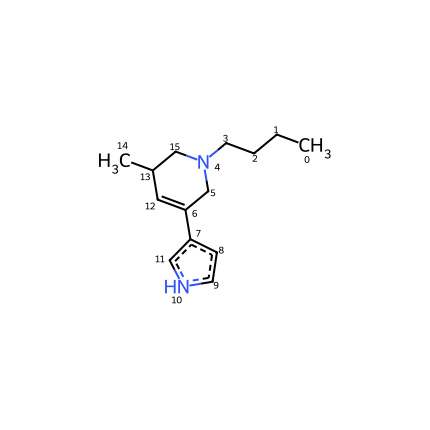 CCCCN1CC(c2cc[nH]c2)=CC(C)C1